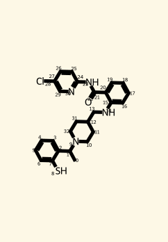 CC(c1ccccc1S)N1CCC(CNc2ccccc2C(=O)Nc2ccc(Cl)cn2)CC1